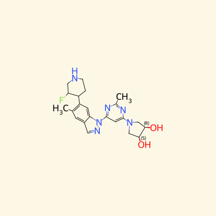 Cc1nc(N2C[C@@H](O)[C@@H](O)C2)cc(-n2ncc3cc(C)c(C4CCNCC4F)cc32)n1